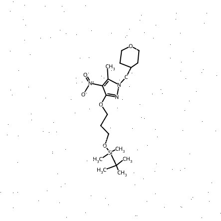 Cc1c([N+](=O)[O-])c(OCCCO[Si](C)(C)C(C)(C)C)nn1CC1CCOCC1